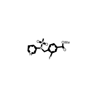 COC(=O)c1ccc(CN(c2cccnc2)S(C)(=O)=O)c(F)c1